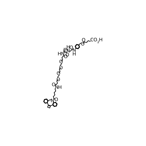 CC(C)[C@H](NC(=O)CCOCCOCCOCCOCCC(=O)NCCCCCC(=O)N1Cc2ccccc2C2=C(CC2)c2ccccc21)C(=O)NCC(=O)Nc1ccc(COC(=O)CCCC(=O)O)cc1